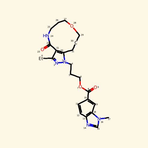 CCc1nn(CCCOC(=O)c2ccc3ncn(C)c3c2)c2c1C(=O)NCCCOCCC2